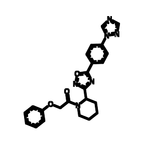 O=C(COc1ccccc1)N1CCCCC1c1noc(-c2ccc(-n3cncn3)cc2)n1